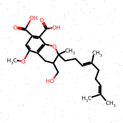 COc1cc(C(=O)O)c(C(=O)O)c2c1CC(CO)C(C)(CC/C=C(\C)CCC=C(C)C)O2